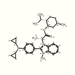 CC(C)[C@@H]1CC[C@@H](C)C[C@H]1OC(=O)[C@@H](C)n1c(-c2ccc(N(C3CC3)C3CC3)cc2)[n+](C)c2ccccc21